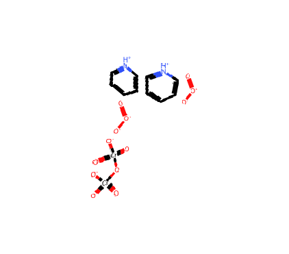 O=[O+][O-].O=[O+][O-].[O]=[Cr](=[O])([O-])[O][Cr](=[O])(=[O])[O-].c1cc[nH+]cc1.c1cc[nH+]cc1